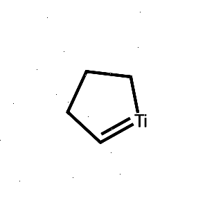 [CH]1=[Ti][CH2]CC1